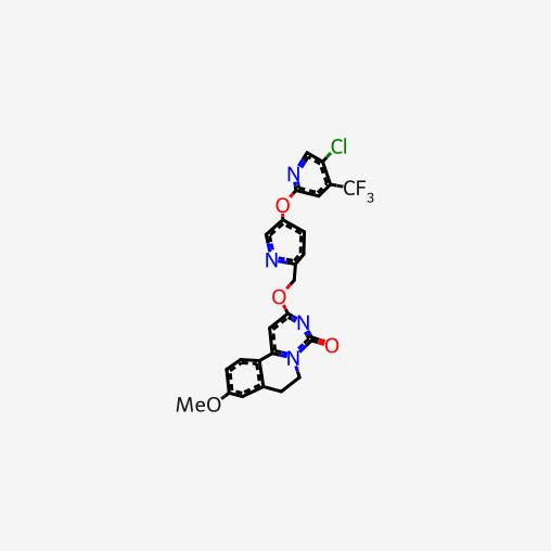 COc1ccc2c(c1)CCn1c-2cc(OCc2ccc(Oc3cc(C(F)(F)F)c(Cl)cn3)cn2)nc1=O